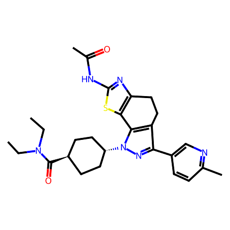 CCN(CC)C(=O)[C@H]1CC[C@H](n2nc(-c3ccc(C)nc3)c3c2-c2sc(NC(C)=O)nc2CC3)CC1